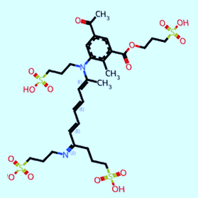 CC(=O)c1cc(C(=O)OCCCS(=O)(=O)O)c(C)c(N(CCCS(=O)(=O)O)/C(C)=C/C=C/C=C/C(CCCS(=O)(=O)O)=N\CCCS(=O)(=O)O)c1